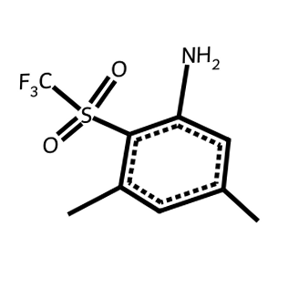 Cc1cc(C)c(S(=O)(=O)C(F)(F)F)c(N)c1